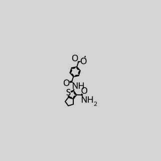 COC(=O)c1ccc(C(=O)Nc2sc3c(c2C(N)=O)CCC3)cc1